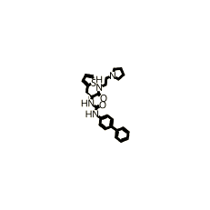 O=C(Nc1ccc(-c2ccccc2)cc1)N[C@@H](Cc1cccs1)C(=O)NCCN1CCCC1